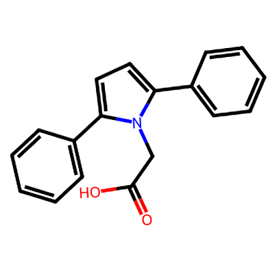 O=C(O)Cn1c(-c2ccccc2)ccc1-c1ccccc1